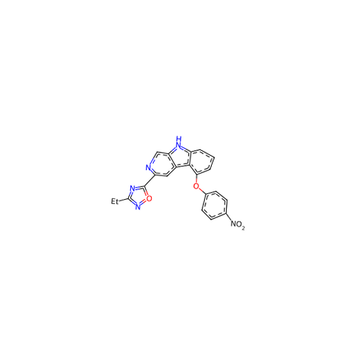 CCc1noc(-c2cc3c(cn2)[nH]c2cccc(Oc4ccc([N+](=O)[O-])cc4)c23)n1